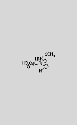 CSCCC1NC2(CCN(SOC(=O)O)CC2)N(Cc2ccccc2C#N)C1=O